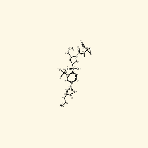 CO[C@@H]1CC(S(=O)(=O)c2ccc(-n3cc(CCO)nn3)cc2C(F)(F)F)C[C@H]1C(=O)NC1(C#N)CC1